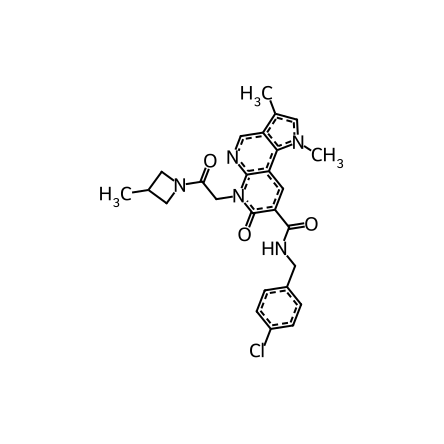 Cc1cn(C)c2c1cnc1c2cc(C(=O)NCc2ccc(Cl)cc2)c(=O)n1CC(=O)N1CC(C)C1